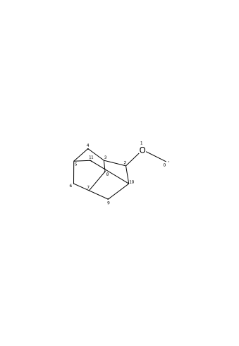 [CH2]OC1C2CC3CC(C2)CC1C3